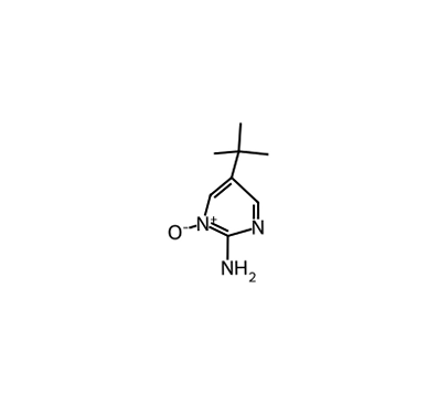 CC(C)(C)c1cnc(N)[n+]([O-])c1